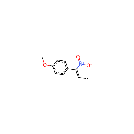 [CH2]C=C(c1ccc(OC)cc1)[N+](=O)[O-]